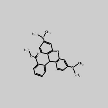 COC(=O)c1ccccc1C1c2ccc(N(C)C)cc2Sc2cc(N(C)C)ccc21